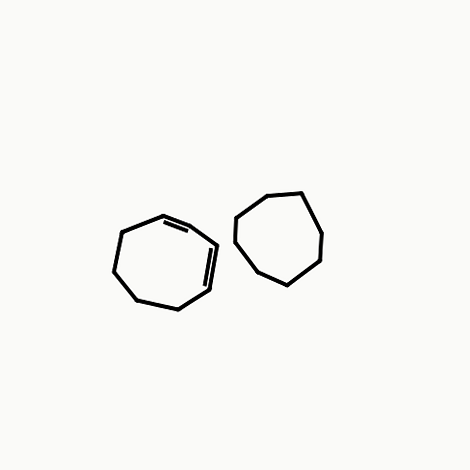 C1=CCCCCC=C1.C1CCCCCCC1